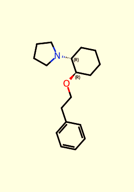 c1ccc(CCO[C@@H]2CCCC[C@H]2N2CCCC2)cc1